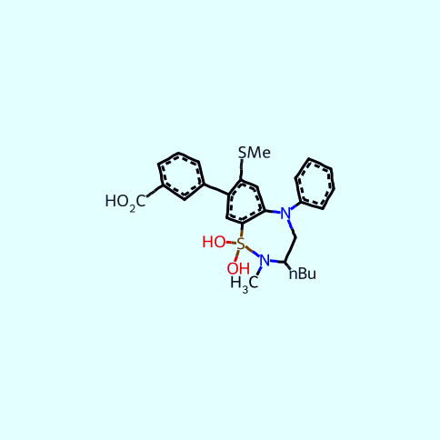 CCCCC1CN(c2ccccc2)c2cc(SC)c(-c3cccc(C(=O)O)c3)cc2S(O)(O)N1C